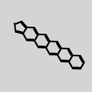 c1ccc2cc3cc4cc5cc6cscc6cc5cc4cc3cc2c1